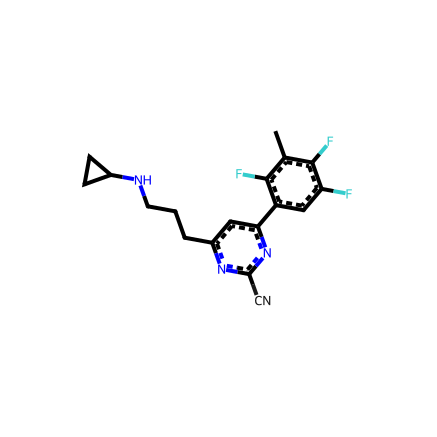 Cc1c(F)c(F)cc(-c2cc(CCCNC3CC3)nc(C#N)n2)c1F